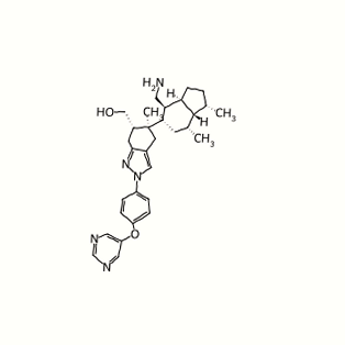 C[C@@H]1C[C@H]([C@@]2(C)Cc3cn(-c4ccc(Oc5cncnc5)cc4)nc3C[C@@H]2CO)[C@@H](CN)[C@H]2CC[C@H](C)[C@@H]21